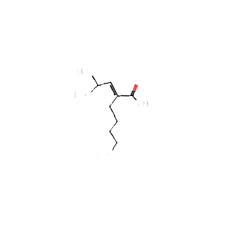 CCCCC/C(=C\C(C)C)C(C)=O